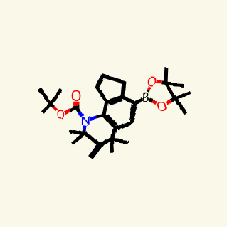 C=C1C(C)(C)c2cc(B3OC(C)(C)C(C)(C)O3)c3c(c2N(C(=O)OC(C)(C)C)C1(C)C)CCC3